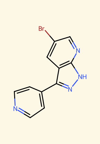 Brc1cnc2[nH]nc(-c3ccncc3)c2c1